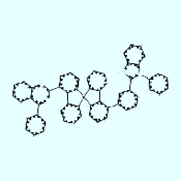 c1ccc(-c2nc(-c3cccc4c3-c3ccccc3C43c4ccccc4-c4c(-c5cccc(-c6nc7ccccc7n6-c6ccccc6)c5)cccc43)nc3ccccc23)cc1